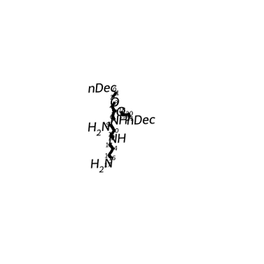 CCCCCCCCCCCCOCC(CNC(N)CCNCCCCN)OCCCCCCCCCCCC